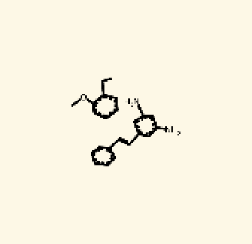 CCc1ccccc1OC.Nc1cc(N)cc(C=Cc2ccccc2)c1